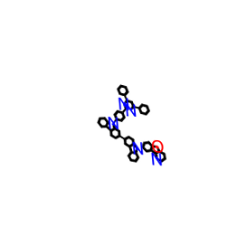 c1ccc(-c2cc(-c3ccccc3)nc(-c3ccc(-n4c5ccccc5c5ccc(-c6ccc7c(c6)c6ccccc6n7-c6ccc7oc8cccnc8c7c6)cc54)cc3)n2)cc1